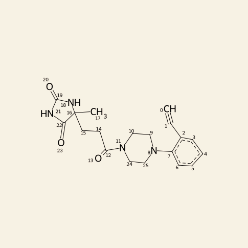 C#Cc1ccccc1N1CCN(C(=O)CCC2(C)NC(=O)NC2=O)CC1